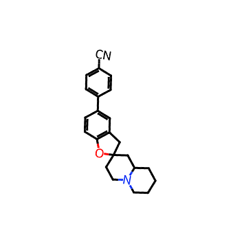 N#Cc1ccc(-c2ccc3c(c2)CC2(CCN4CCCCC4C2)O3)cc1